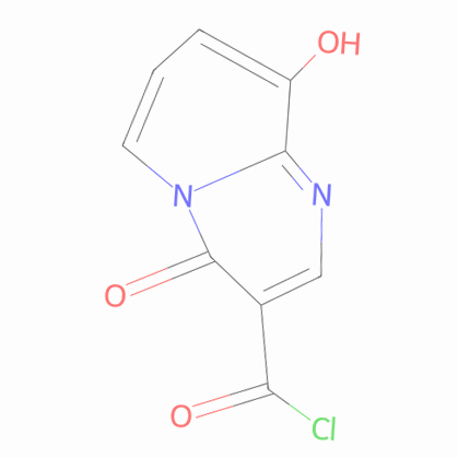 O=C(Cl)c1cnc2c(O)cccn2c1=O